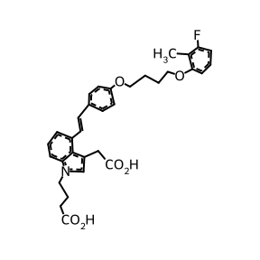 Cc1c(F)cccc1OCCCCOc1ccc(C=Cc2cccc3c2c(CC(=O)O)cn3CCCC(=O)O)cc1